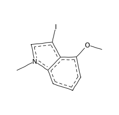 COc1cccc2c1c(I)cn2C